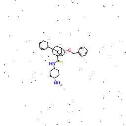 NC1CCC(NC(=S)C23CC4CC(c5ccccc5)(CC2C4OCc2ccccc2)C3)CC1